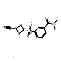 CN(C)C(=O)c1cccc(S(=O)(=O)[C@H]2C[C@H](C#N)C2)c1